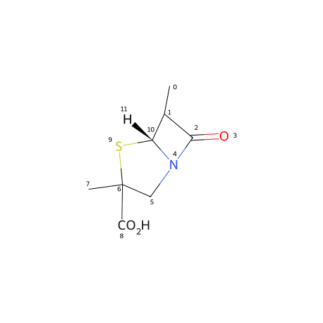 CC1C(=O)N2CC(C)(C(=O)O)S[C@H]12